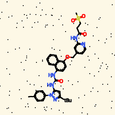 Cc1ccc(-n2nc(C(C)(C)C)cc2NC(=O)Nc2ccc(OCc3ccnc(NC(=O)CCS(C)(=O)=O)c3)c3ccccc23)cc1